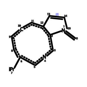 C=Nc1cncc(C(C)C)ccccc1/C=C\C